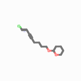 Cl/C=C/C#CCCCCOC1CCCCO1